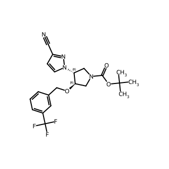 CC(C)(C)OC(=O)N1C[C@@H](n2ccc(C#N)n2)[C@H](OCc2cccc(C(F)(F)F)c2)C1